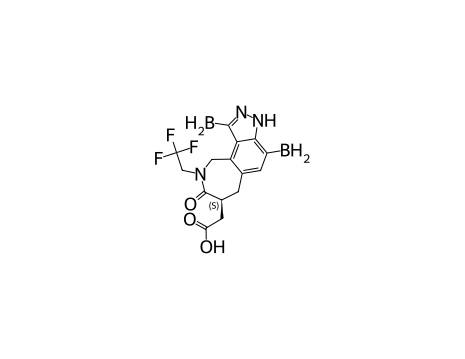 Bc1cc2c(c3c(B)n[nH]c13)CN(CC(F)(F)F)C(=O)[C@H](CC(=O)O)C2